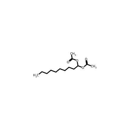 CCCCCCCCCC(OC(C)=O)OC(C)=O